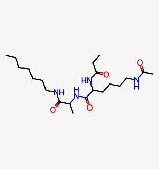 CCCCCCCNC(=O)C(C)NC(=O)C(CCCCNC(C)=O)NC(=O)CC